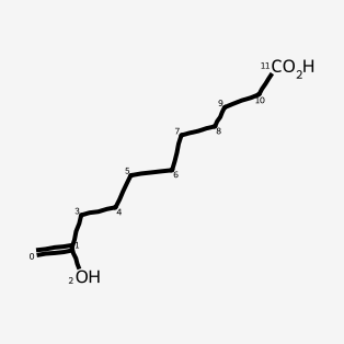 C=C(O)CCCCCCCCC(=O)O